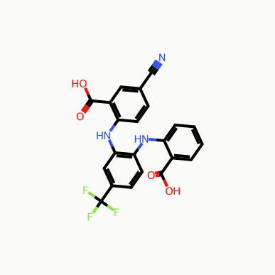 N#Cc1ccc(Nc2cc(C(F)(F)F)ccc2Nc2ccccc2C(=O)O)c(C(=O)O)c1